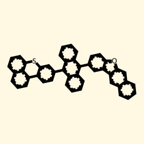 c1ccc2cc3c(cc2c1)oc1ccc(-c2c4ccccc4c(-c4ccc5c(c4)Sc4cccc6cccc-5c46)c4ccccc24)cc13